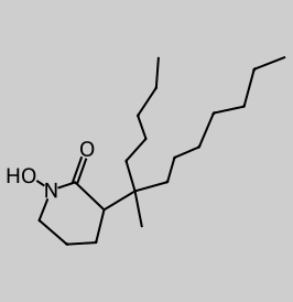 CCCCCCCC(C)(CCCCC)C1CCCN(O)C1=O